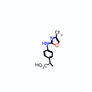 C[C@@H](C(=O)O)c1ccc(Nc2nc(C(F)(F)F)co2)cc1